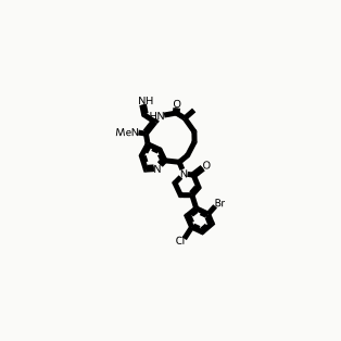 CN/C1=C(\C=N)NC(=O)C(C)CCCC(N2CCC(c3cc(Cl)ccc3Br)=CC2=O)c2cc1ccn2